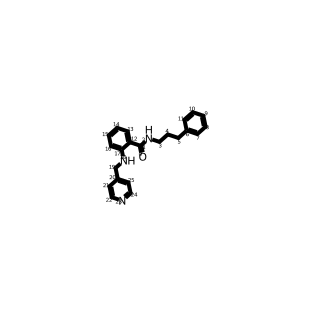 O=C(NCCCc1ccccc1)c1ccccc1NCc1ccncc1